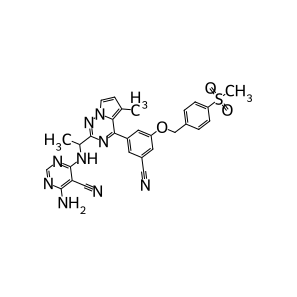 Cc1ccn2nc(C(C)Nc3ncnc(N)c3C#N)nc(-c3cc(C#N)cc(OCc4ccc(S(C)(=O)=O)cc4)c3)c12